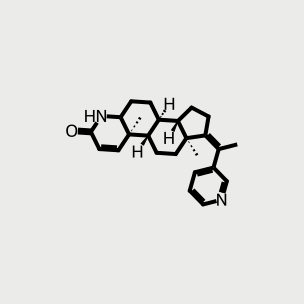 CC(=C1CC[C@H]2[C@@H]3CCC4NC(=O)C=C[C@]4(C)[C@H]3CC[C@]12C)c1cccnc1